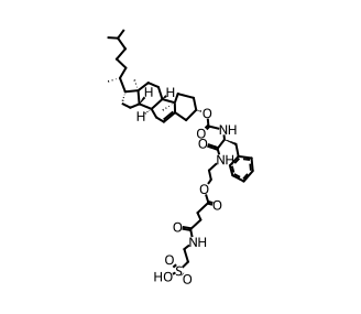 CC(C)CCC[C@@H](C)[C@H]1CC[C@H]2[C@@H]3CC=C4C[C@@H](OC(=O)N[C@@H](Cc5ccccc5)C(=O)NCCOC(=O)CCC(=O)NCCS(=O)(=O)O)CC[C@]4(C)[C@H]3CC[C@]12C